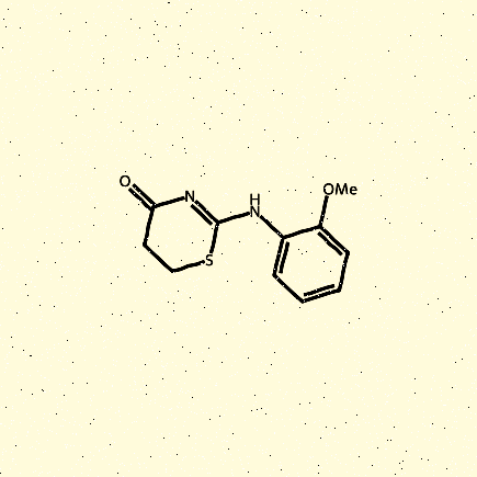 COc1ccccc1NC1=NC(=O)CCS1